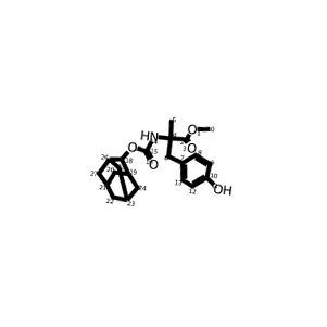 COC(=O)C(C)(Cc1ccc(O)cc1)NC(=O)OC1C2CC3CC(C2)CC1C3